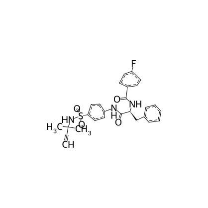 C#CC(C)(C)NS(=O)(=O)c1ccc(NC(=O)[C@H](Cc2ccccc2)NC(=O)c2ccc(F)cc2)cc1